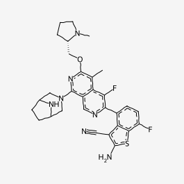 Cc1c(OC[C@@H]2CCCN2C)nc(N2CC3CCC(C2)N3)c2cnc(-c3ccc(F)c4sc(N)c(C#N)c34)c(F)c12